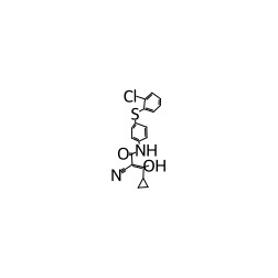 N#CC(C(=O)Nc1ccc(Sc2ccccc2Cl)cc1)=C(O)C1CC1